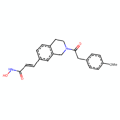 COc1ccc(CC(=O)N2CCc3ccc(/C=C/C(=O)NO)cc3C2)cc1